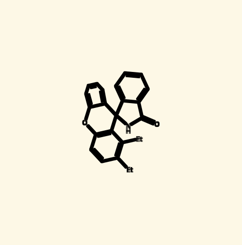 CCc1ccc2c(c1CC)C1(NC(=O)c3ccccc31)c1ccccc1O2